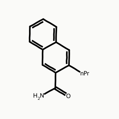 CCCc1cc2ccccc2cc1C(N)=O